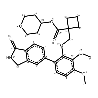 COc1ccc(-c2ccc3c(c2)CNC3=O)c(OCC2(C(=O)OC3CCOCC3)CCC2)c1OC